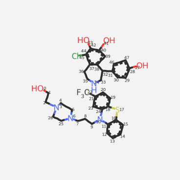 OCCN1CCN(CCCN2c3ccccc3Sc3ccc(C(F)(F)F)cc32)CC1.Oc1ccc(C2CNCCc3c2cc(O)c(O)c3Cl)cc1